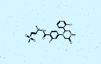 C[C@H](/C=C/S(C)(=O)=O)NC(=O)c1ccc(N2CC(=O)N(C)CC2c2ccccc2Cl)cc1F